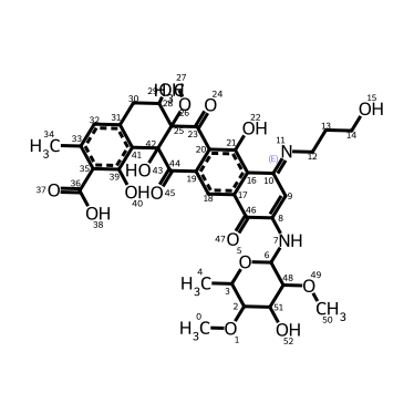 COC1C(C)OC(NC2=C/C(=N\CCCO)c3c(cc4c(c3O)C(=O)C3(OC)C(O)Cc5cc(C)c(C(=O)O)c(O)c5C3(O)C4=O)C2=O)C(OC)C1O